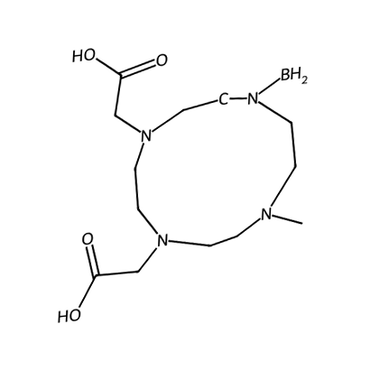 BN1CCN(C)CCN(CC(=O)O)CCN(CC(=O)O)CC1